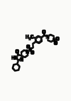 Cc1cc(C(=O)N2CCS(=O)(=O)CC2)ccc1CCS(=O)(=O)N1CCC2(CC1)N=C(C1CCCCC1)NC2=O